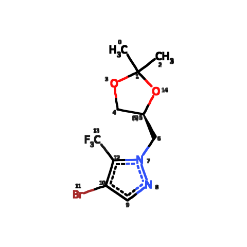 CC1(C)OC[C@H](Cn2ncc(Br)c2C(F)(F)F)O1